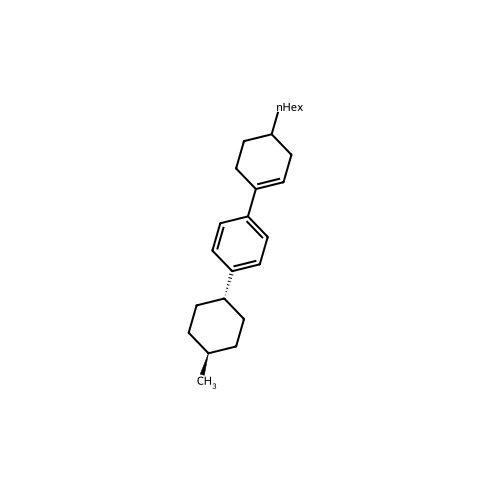 CCCCCCC1CC=C(c2ccc([C@H]3CC[C@H](C)CC3)cc2)CC1